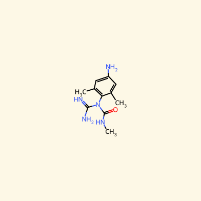 CNC(=O)N(C(=N)N)c1c(C)cc(N)cc1C